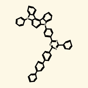 c1ccc(-c2ccc(-c3ccc(-c4nc(-c5ccccc5)nc(-c5ccc(-n6c7ccccc7c7c8c9ccccc9n(-c9ccccc9)c8ccc76)cc5)n4)cc3)cc2)cc1